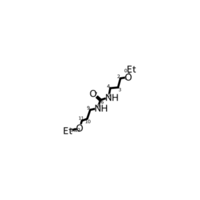 CCOCCCNC(=O)NCCCOCC